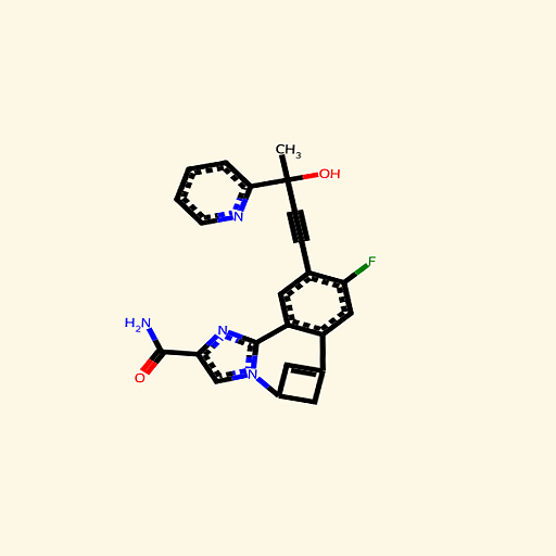 CC(O)(C#Cc1cc2c(cc1F)C1=CC(C1)n1cc(C(N)=O)nc1-2)c1ccccn1